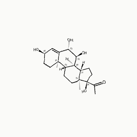 CC(=O)[C@@]1(O)CC[C@H]2[C@@H]3[C@H](O)[C@@H](O)C4=C[C@H](O)CC[C@]4(C)[C@H]3CC[C@@]21C